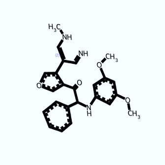 CN/C=C(\C=N)c1cocc1C(=O)C(Nc1cc(OC)cc(OC)c1)c1ccccc1